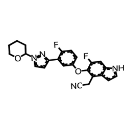 N#CCc1c(Oc2ccc(F)c(-c3ccn(C4CCCCO4)n3)c2)c(F)cc2[nH]ccc12